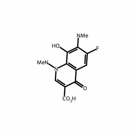 CNc1c(F)cc2c(=O)c(C(=O)O)cn(NC)c2c1O